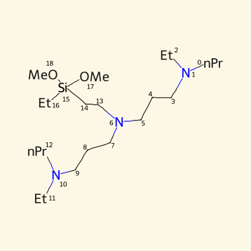 CCCN(CC)CCCN(CCCN(CC)CCC)CC[Si](CC)(OC)OC